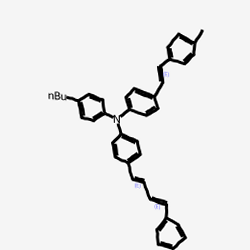 CCCCc1ccc(N(c2ccc(/C=C/C=C/c3ccccc3)cc2)c2ccc(/C=C/c3ccc(C)cc3)cc2)cc1